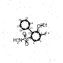 CCOc1c(F)ccc(S(N)(=O)=O)c1-c1ccccc1